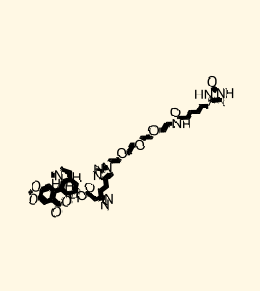 C[C@H]1NC(=O)N[C@H]1CCCCCC(=O)NCCOCCOCCOCCn1cc(CCC2(CC(=O)O[C@H]3C[C@H]4CCN(C)[C@H]4[C@@H]4c5cc6c(cc5C(=O)O[C@@H]43)OCO6)N=N2)nn1